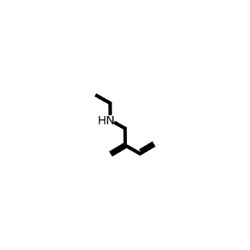 C=CC(=C)CNCC